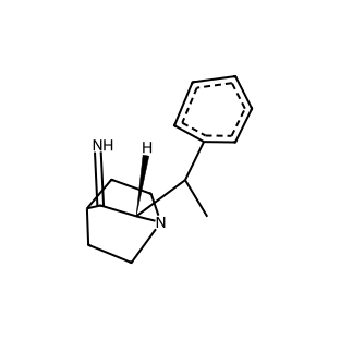 CC(c1ccccc1)[C@H]1C(=N)C2CCN1CC2